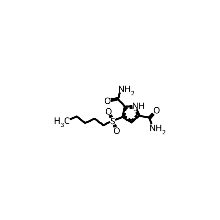 CCCCCS(=O)(=O)c1cc(C(N)=O)[nH]c1C(N)=O